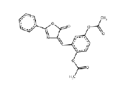 CC(=O)Oc1ccc(OC(C)=O)c(C=C2N=C(c3ccccc3)OC2=O)c1